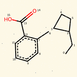 CCC1CCC1.Cc1ccccc1C(=O)O